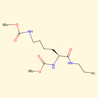 CC(=O)CCNC(=O)[C@H](CCCCNC(=O)OC(C)(C)C)NC(=O)OC(C)(C)C